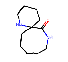 O=C1NCCCCCC12CCCCN2